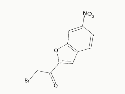 O=C(CBr)c1cc2ccc([N+](=O)[O-])cc2o1